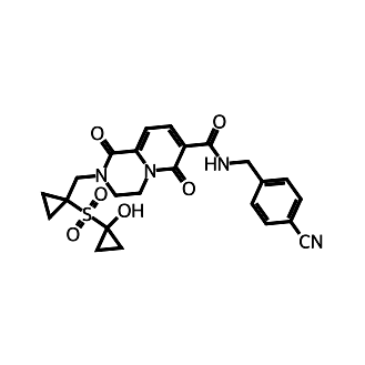 N#Cc1ccc(CNC(=O)c2ccc3n(c2=O)CCN(CC2(S(=O)(=O)C4(O)CC4)CC2)C3=O)cc1